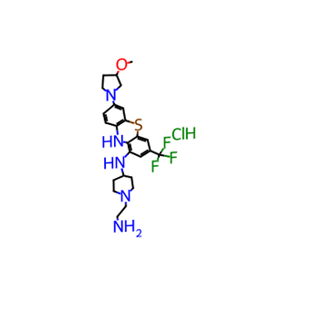 COC1CCN(c2ccc3c(c2)Sc2cc(C(F)(F)F)cc(NC4CCN(CCN)CC4)c2N3)C1.Cl